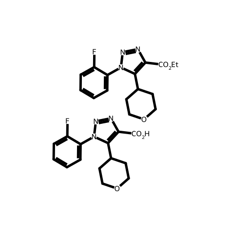 CCOC(=O)c1nnn(-c2ccccc2F)c1C1CCOCC1.O=C(O)c1nnn(-c2ccccc2F)c1C1CCOCC1